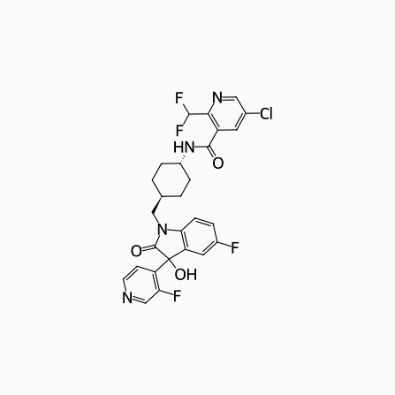 O=C(N[C@H]1CC[C@H](CN2C(=O)C(O)(c3ccncc3F)c3cc(F)ccc32)CC1)c1cc(Cl)cnc1C(F)F